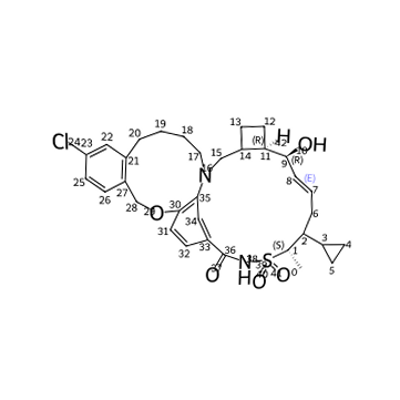 C[C@H]1C(C2CC2)C/C=C/[C@H](O)[C@@H]2CCC2CN2CCCCc3cc(Cl)ccc3COc3ccc(cc32)C(=O)NS1(=O)=O